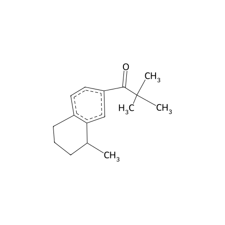 CC1CCCc2ccc(C(=O)C(C)(C)C)cc21